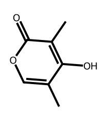 Cc1coc(=O)c(C)c1O